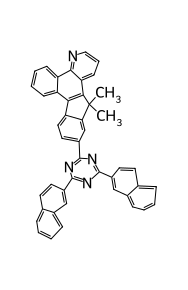 CC1(C)c2cc(-c3nc(-c4ccc5ccccc5c4)nc(-c4ccc5ccccc5c4)n3)ccc2-c2c1c1cccnc1c1ccccc21